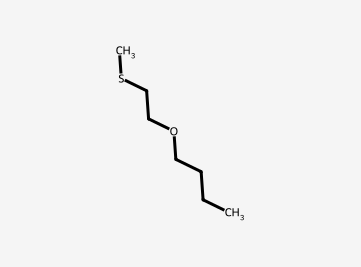 CCCCOCCSC